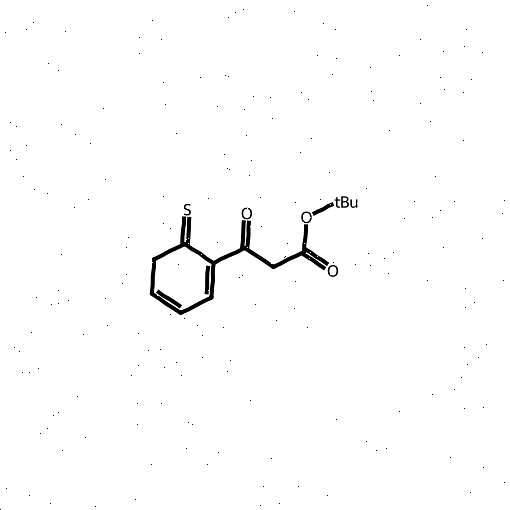 CC(C)(C)OC(=O)CC(=O)C1=CC=CCC1=S